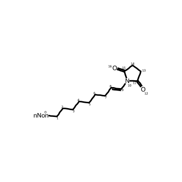 CCCCCCCCCCCCCCCC/C=C/N1C(=O)CCC1=O